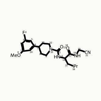 COc1cc(F)cc(C2CCN(C(=O)NC(CC(C)C)C(=O)NCC#N)CC2)c1